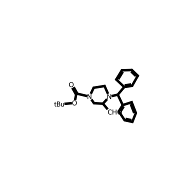 CC(C)(C)OC(=O)N1CCN(C(c2ccccc2)c2ccccc2)C(C=O)C1